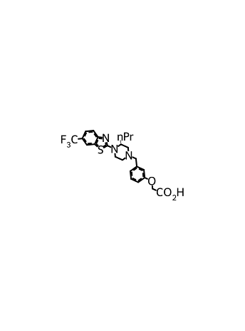 CCC[C@@H]1CN(Cc2cccc(OCC(=O)O)c2)CCN1c1nc2ccc(C(F)(F)F)cc2s1